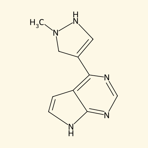 CN1CC(c2ncnc3[nH]ccc23)=CN1